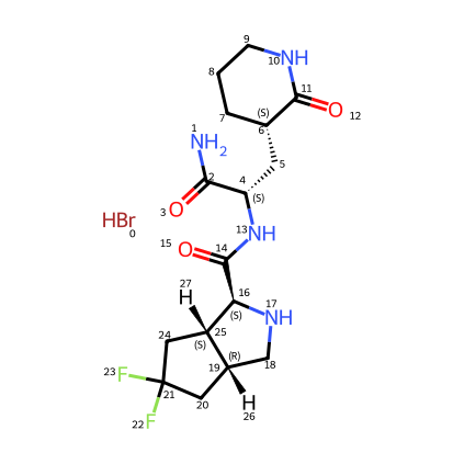 Br.NC(=O)[C@H](C[C@@H]1CCCNC1=O)NC(=O)[C@H]1NC[C@@H]2CC(F)(F)C[C@@H]21